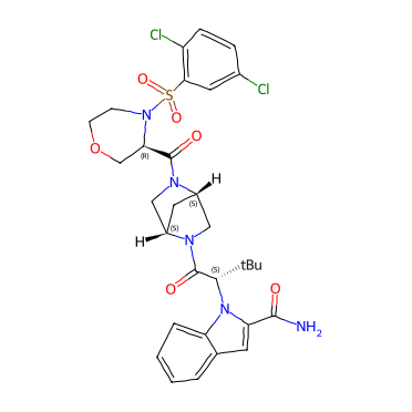 CC(C)(C)[C@@H](C(=O)N1C[C@@H]2C[C@H]1CN2C(=O)[C@H]1COCCN1S(=O)(=O)c1cc(Cl)ccc1Cl)n1c(C(N)=O)cc2ccccc21